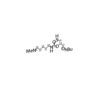 CCCCOCC(CS)OC(=O)NCCCCCNC